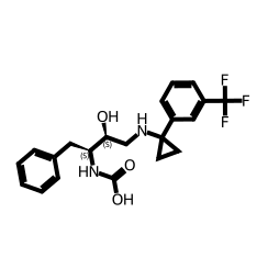 O=C(O)N[C@@H](Cc1ccccc1)[C@@H](O)CNC1(c2cccc(C(F)(F)F)c2)CC1